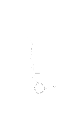 COc1cccc(NC(=O)NCCOCCC(C)C)c1